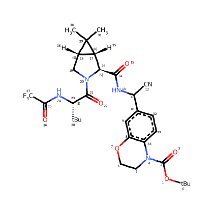 CC(C)(C)OC(=O)N1CCOc2cc(C(C#N)NC(=O)[C@@H]3[C@@H]4[C@H](CN3C(=O)[C@@H](NC(=O)C(F)(F)F)C(C)(C)C)C4(C)C)ccc21